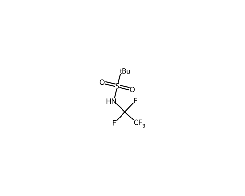 CC(C)(C)S(=O)(=O)NC(F)(F)C(F)(F)F